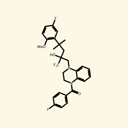 COc1ccc(F)cc1C(C)(C)CC(O)(CN1CCN(C(=O)c2ccc(F)cc2)c2ccccc21)C(F)(F)F